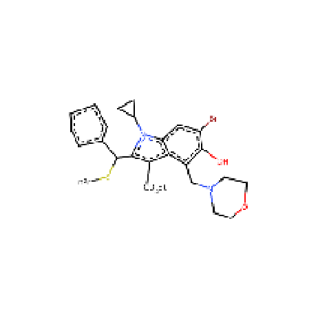 CCCSC(c1ccccc1)c1c(C(=O)OCC)c2c(CN3CCOCC3)c(O)c(Br)cc2n1C1CC1